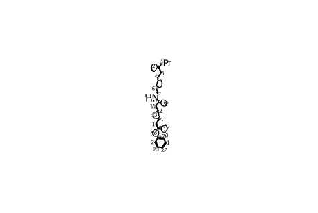 CC(C)C(=O)CCOCCNC(=O)CCOCCC(=O)Oc1ccccc1